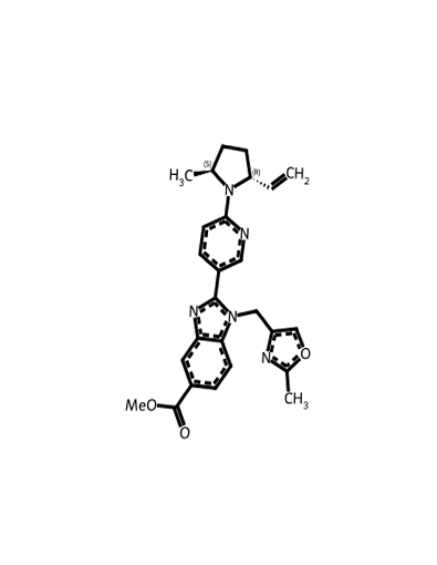 C=C[C@H]1CC[C@H](C)N1c1ccc(-c2nc3cc(C(=O)OC)ccc3n2Cc2coc(C)n2)cn1